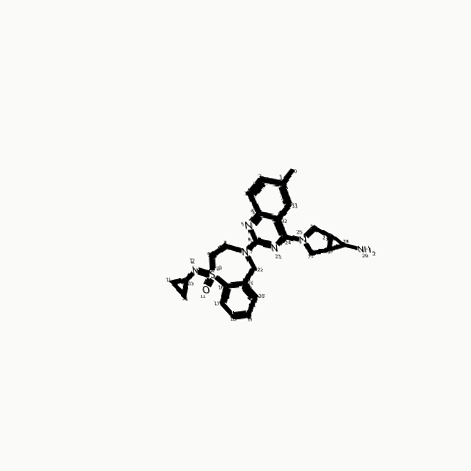 Cc1ccc2nc(N3CCS(=O)(=NC4CC4)c4ccccc4C3)nc(N3CC4C(N)C4C3)c2c1